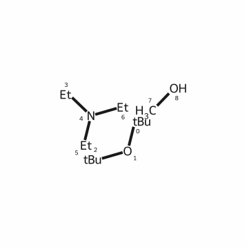 CC(C)(C)OC(C)(C)C.CCN(CC)CC.CO